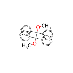 COC(c1ccccc1)(c1ccccc1)C(OC)(c1ccccc1)c1ccccc1